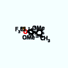 COc1cc(OSC(F)(F)F)cc(OC)c1C1C=C(C)CCC1